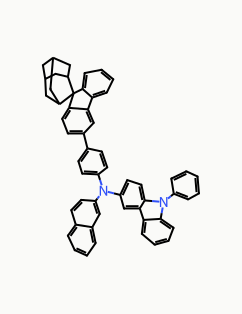 c1ccc(-n2c3ccccc3c3cc(N(c4ccc(-c5ccc6c(c5)-c5ccccc5C65C6CC7CC(C6)CC5C7)cc4)c4ccc5ccccc5c4)ccc32)cc1